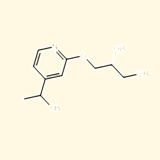 CC(S)c1ccnc(OC[C@H](O)CO)c1